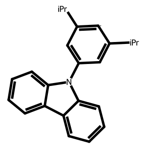 CC(C)c1[c]c(C(C)C)cc(-n2c3ccccc3c3ccccc32)c1